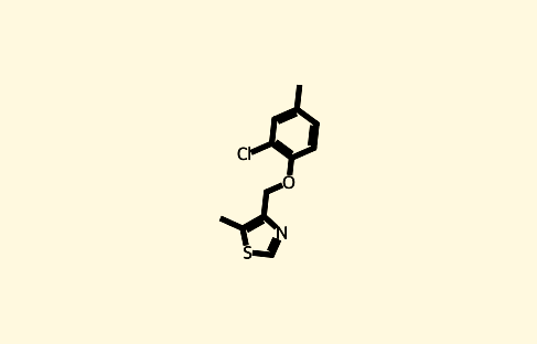 Cc1ccc(OCc2ncsc2C)c(Cl)c1